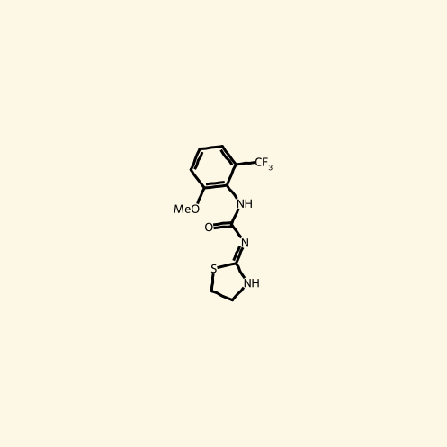 COc1cccc(C(F)(F)F)c1NC(=O)N=C1NCCS1